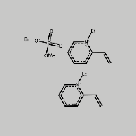 C=Cc1cccc[n+]1CC.C=Cc1cccc[n+]1CC.COS(=O)(=O)[O-].[Br-]